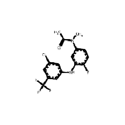 CC(=O)N(C)c1ccc(F)c(Nc2cc(Cl)cc(C(F)(F)F)c2)c1